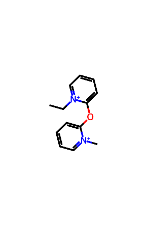 CC[n+]1ccccc1Oc1cccc[n+]1C